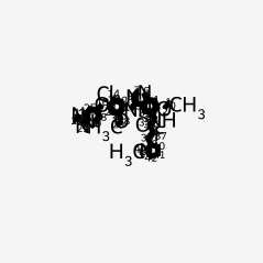 CCOc1cc2ncnc(Nc3cc(Cl)c(Oc4ccn5ncnc5c4)cc3OC)c2cc1NC(=O)C(F)=CC1CCCN1C